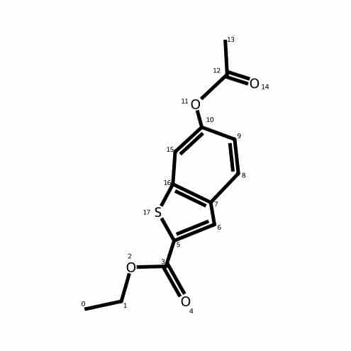 CCOC(=O)c1cc2ccc(OC(C)=O)cc2s1